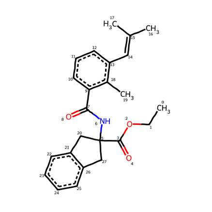 CCOC(=O)C1(NC(=O)c2cccc(C=C(C)C)c2C)Cc2ccccc2C1